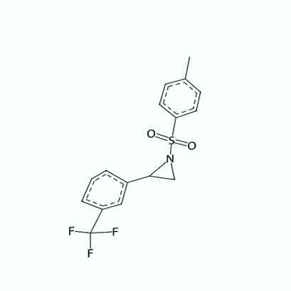 Cc1ccc(S(=O)(=O)N2CC2c2cccc(C(F)(F)F)c2)cc1